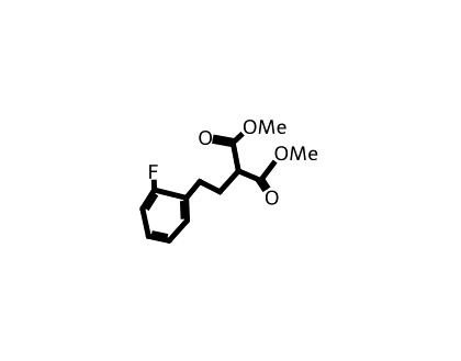 COC(=O)C(CCc1ccccc1F)C(=O)OC